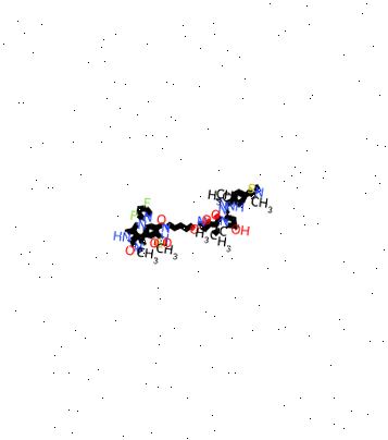 CCN1N=C([C@H]2C[C@@H](O)CN2C(=O)[C@@H](c2cc(OCCCCCNC(=O)c3cc4c(cc3CS(C)(=O)=O)-c3cn(C)c(=O)c5[nH]cc(c35)CN4c3ncc(F)cc3F)no2)C(C)C)N[C@@]1(C)c1ccc(-c2scnc2C)cc1